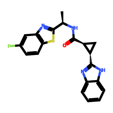 C[C@@H](NC(=O)[C@H]1C[C@@H]1c1nc2ccccc2[nH]1)c1nc2cc(F)ccc2s1